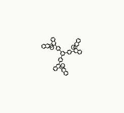 c1ccc2cc3c(cc2c1)oc1c(-c2ccc(-c4cc(-c5ccc(-c6cc7ccccc7c7c6oc6cc8ccccc8cc67)cc5)cc(-c5ccc(-c6cc7ccccc7c7c6oc6cc8ccccc8cc67)cc5)c4)cc2)cc2ccccc2c13